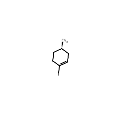 C[C@H]1CC=C(I)CC1